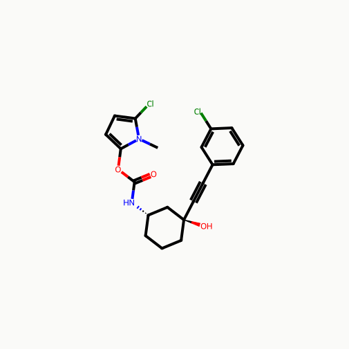 Cn1c(Cl)ccc1OC(=O)N[C@H]1CCC[C@@](O)(C#Cc2cccc(Cl)c2)C1